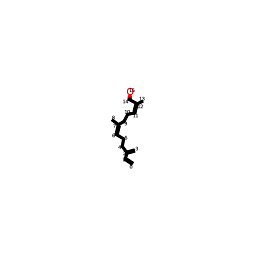 C=CC(=C)CCC=C(C)CCC=C(C)C=O